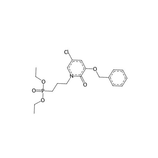 CCOP(=O)(CCCn1cc(Cl)cc(OCc2ccccc2)c1=O)OCC